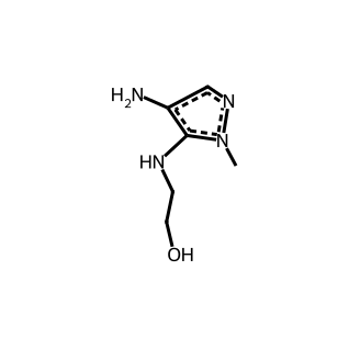 Cn1ncc(N)c1NCCO